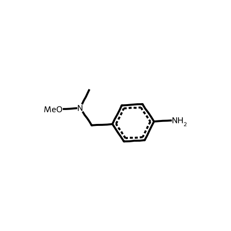 CON(C)Cc1ccc(N)cc1